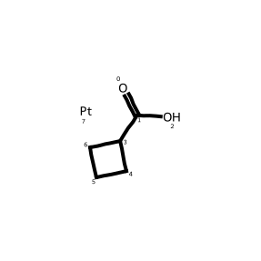 O=C(O)C1CCC1.[Pt]